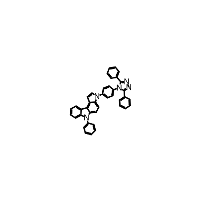 c1ccc(-c2nnc(-c3ccccc3)n2-c2ccc(-n3ccc4c5c6ccccc6n(-c6ccccc6)c5ccc43)cc2)cc1